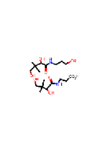 CC(C)(CO)C(O)C(=O)NCCC(=O)O.CC(C)(CO)C(O)C(=O)NCCCO